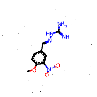 COc1ccc(C=NNC(=N)N)cc1[N+](=O)[O-]